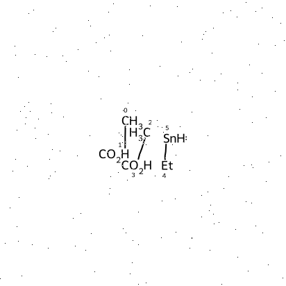 CC(=O)O.CC(=O)O.C[CH2][SnH]